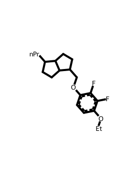 CCCC1CCC2C(COc3ccc(OCC)c(F)c3F)CCC12